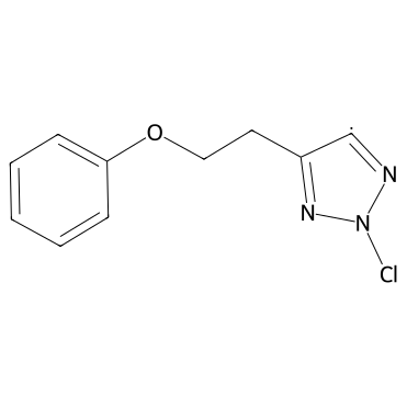 Cln1n[c]c(CCOc2ccccc2)n1